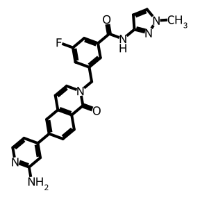 Cn1ccc(NC(=O)c2cc(F)cc(Cn3ccc4cc(-c5ccnc(N)c5)ccc4c3=O)c2)n1